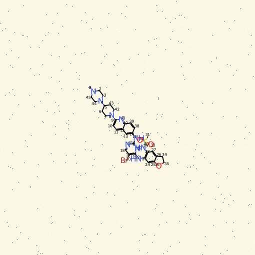 CN1CCN(C2CCN(c3ccc4cc(Nc5ncc(Br)c(Nc6cc7c(cc6NS(C)(=O)=O)CCO7)n5)ccc4n3)CC2)CC1